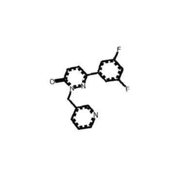 O=c1ccc(-c2cc(F)cc(F)c2)nn1Cc1cccnc1